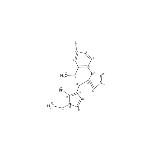 CCc1cc(F)ccc1-n1cncc1Cc1cnn(CC)c1Br